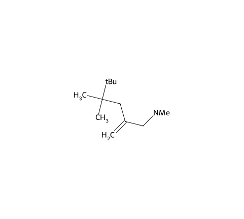 C=C(CNC)CC(C)(C)C(C)(C)C